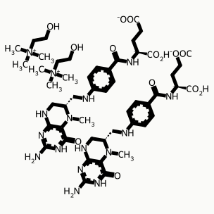 CN1c2c(nc(N)[nH]c2=O)NC[C@@H]1CNc1ccc(C(=O)N[C@@H](CCC(=O)[O-])C(=O)O)cc1.CN1c2c(nc(N)[nH]c2=O)NC[C@@H]1CNc1ccc(C(=O)N[C@@H](CCC(=O)[O-])C(=O)O)cc1.C[N+](C)(C)CCO.C[N+](C)(C)CCO